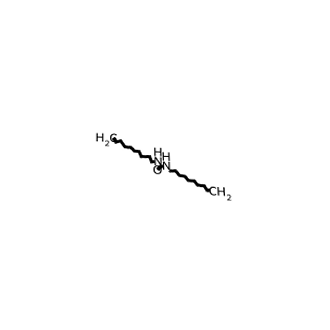 C=CCCCCCCCCNC(=O)NCCCCCCCCC=C